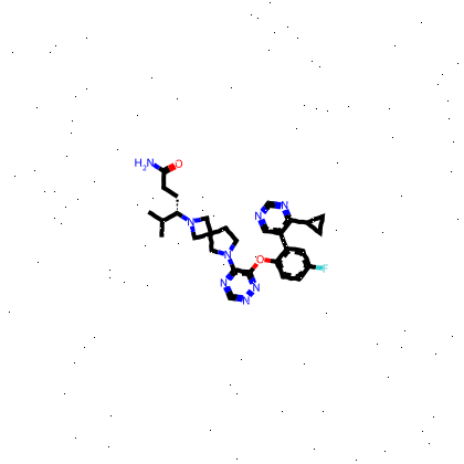 CC(C)[C@H](CCC(N)=O)N1CC2(CCN(c3ncnnc3Oc3ccc(F)cc3-c3cncnc3C3CC3)C2)C1